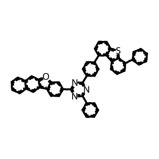 c1ccc(-c2nc(-c3ccc(-c4cccc5sc6c(-c7ccccc7)cccc6c45)cc3)nc(-c3ccc4c(c3)oc3cc5ccccc5cc34)n2)cc1